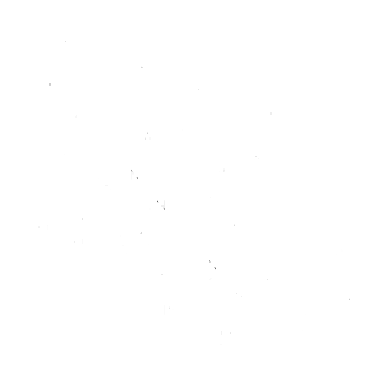 CC(=O)N([C@@H](Cc1ccccc1)C(=O)C(=O)O)N1C(=O)C(C(C)C)N(C(=O)c2cccs2)C=C1c1ccccc1